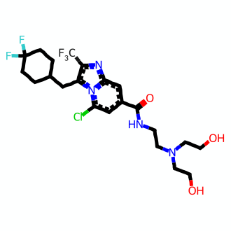 O=C(NCCN(CCO)CCO)c1cc(Cl)n2c(CC3CCC(F)(F)CC3)c(C(F)(F)F)nc2c1